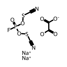 N#CSOP(=O)(F)OSC#N.O=C([O-])C(=O)[O-].[Na+].[Na+]